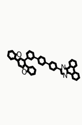 c1cc(-c2ccc(-c3ccc(-c4cnc5c6ccccc6c6ccccc6c5n4)cc3)cc2)cc(-c2c3oc4ccccc4c3cc3oc4ccccc4c23)c1